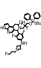 CC1Cc2c(cnc3[nH]ccc23)C(c2c(F)cc(NC3CN(CCCF)C3)cc2F)N1CC(F)(F)CO[Si](c1ccccc1)(c1ccccc1)C(C)(C)C